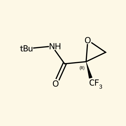 CC(C)(C)NC(=O)[C@@]1(C(F)(F)F)CO1